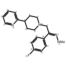 CN/N=C(/CN1CCC(c2ccccn2)CC1)c1ccc(F)cc1